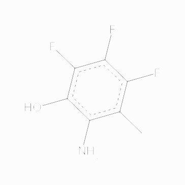 Cc1c(N)c(O)c(F)c(F)c1F